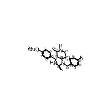 C=C(NCc1ccc(OCC(C)C)cc1)N(Cc1ccc(F)cc1)C1CCNC(C)C1